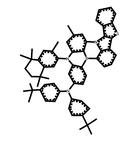 Cc1cc2c3c(c1)-n1c4c(cccc4c4sc5ccccc5c41)B3c1ccc(N(c3ccc(C(C)(C)C)cc3)c3ccc(C(C)(C)C)cc3)cc1N2c1cc2c(cc1C)C(C)(C)CCC2(C)C